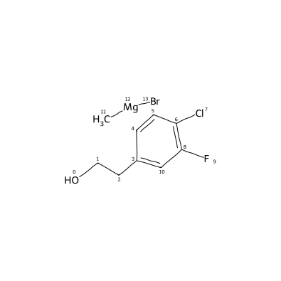 OCCc1ccc(Cl)c(F)c1.[CH3][Mg][Br]